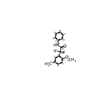 COc1ccc(C)cc1C(F)(F)C(=O)Nc1ccccc1